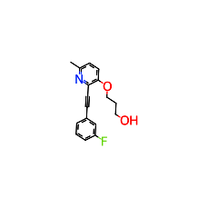 Cc1ccc(OCCCO)c(C#Cc2cccc(F)c2)n1